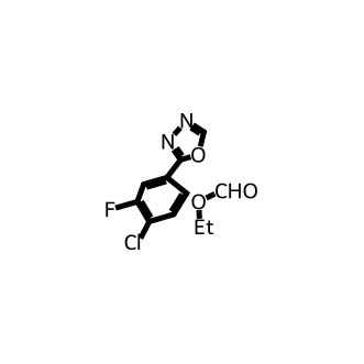 CCOC=O.Fc1cc(-c2nnco2)ccc1Cl